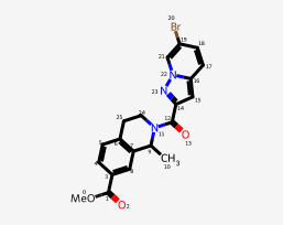 COC(=O)c1ccc2c(c1)C(C)N(C(=O)c1cc3ccc(Br)cn3n1)CC2